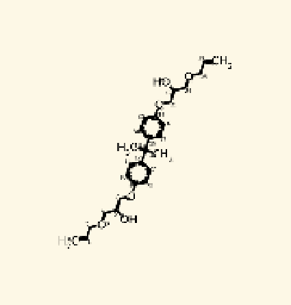 C=CCOCC(O)COc1ccc(C(C)(C)c2ccc(OCC(O)COCC=C)cc2)cc1